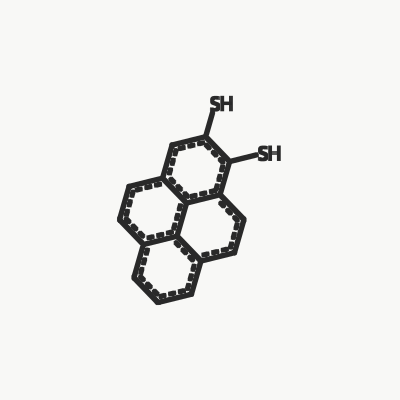 Sc1cc2ccc3cccc4ccc(c1S)c2c34